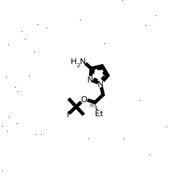 CC[C@@H](Cn1ccc(N)n1)OC(C)(C)I